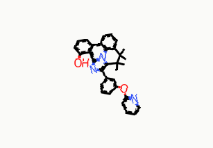 CC1(C)c2cccc3c4cccc(O)c4c4nc(-c5cccc(Oc6ccccn6)c5)c(n4c23)C1(C)C